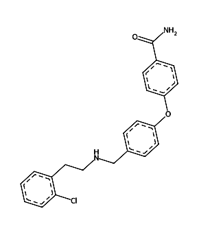 NC(=O)c1ccc(Oc2ccc(CNCCc3ccccc3Cl)cc2)cc1